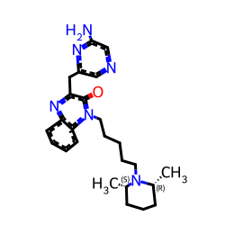 C[C@@H]1CCC[C@H](C)N1CCCCCn1c(=O)c(Cc2cncc(N)n2)nc2ccccc21